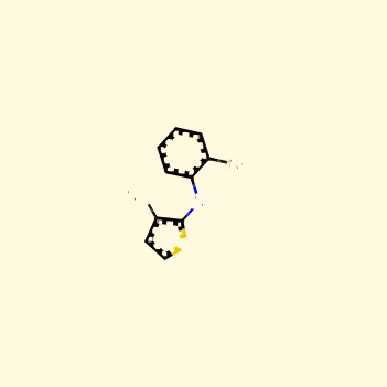 N#Cc1ccsc1Nc1ccccc1[N+](=O)[O-]